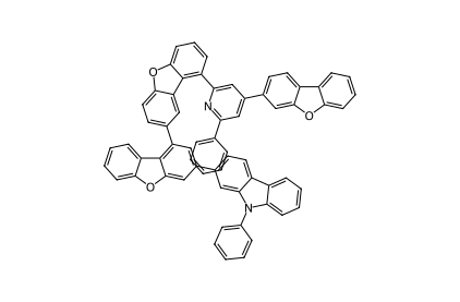 c1ccc(-c2cc(-c3ccc4c(c3)oc3ccccc34)cc(-c3cccc4oc5ccc(-c6cc(-c7ccc8c9ccccc9n(-c9ccccc9)c8c7)cc7oc8ccccc8c67)cc5c34)n2)cc1